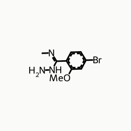 CN=C(NN)c1ccc(Br)cc1OC